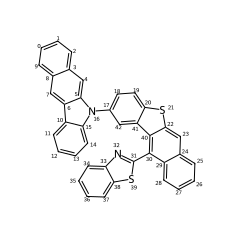 c1ccc2cc3c(cc2c1)c1ccccc1n3-c1ccc2sc3cc4ccccc4c(-c4nc5ccccc5s4)c3c2c1